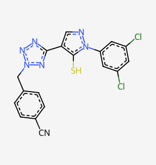 N#Cc1ccc(Cn2nnc(-c3cnn(-c4cc(Cl)cc(Cl)c4)c3S)n2)cc1